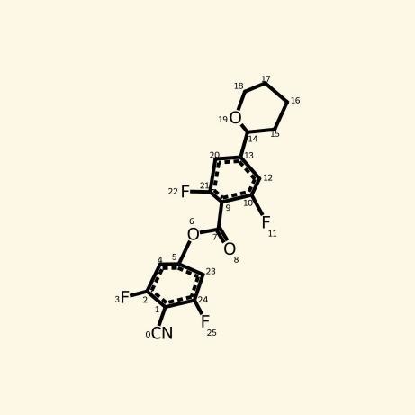 N#Cc1c(F)cc(OC(=O)c2c(F)cc(C3CCCCO3)cc2F)cc1F